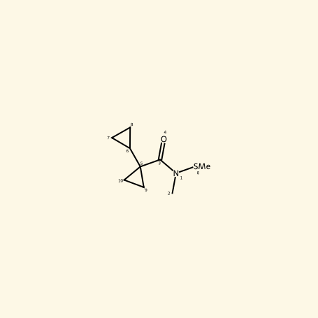 CSN(C)C(=O)C1(C2CC2)CC1